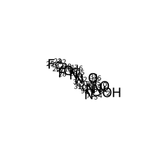 O=C(O)c1ccc2nc(C=C3CCN(c4cccc(OCc5ccc(F)cc5F)n4)CC3)n(CC3CCO3)c2n1